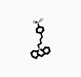 O=[N+]([O-])c1ccc(CCCC[n+]2c3ccccc3cc3ccccc32)cc1